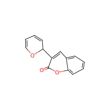 O=c1oc2ccccc2cc1C1C=CC=CO1